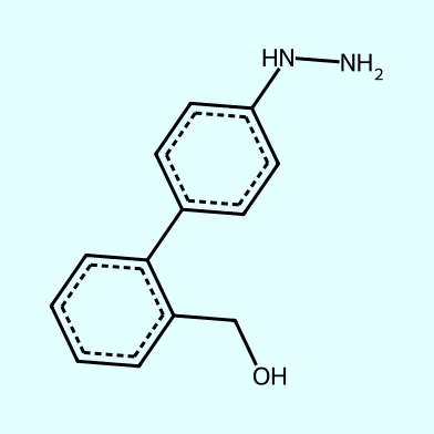 NNc1ccc(-c2ccccc2CO)cc1